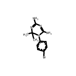 CC1(C)N=C(N)N=C(N)N1c1ccc(Br)cc1